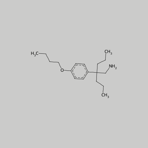 CCCCOc1ccc(C(CN)(CCC)CCC)cc1